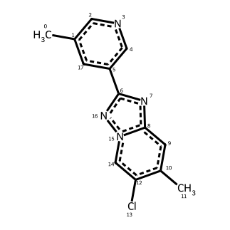 Cc1cncc(-c2nc3cc(C)c(Cl)cn3n2)c1